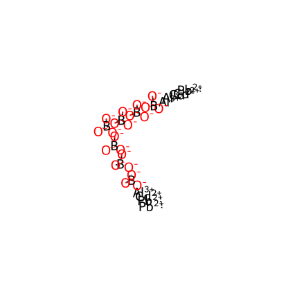 [Al+3].[Al+3].[Al+3].[Cd+2].[Cd+2].[Cd+2].[O-]B([O-])[O-].[O-]B([O-])[O-].[O-]B([O-])[O-].[O-]B([O-])[O-].[O-]B([O-])[O-].[O-]B([O-])[O-].[O-]B([O-])[O-].[Pb+2].[Pb+2].[Pb+2]